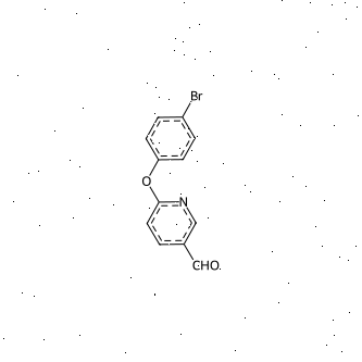 O=Cc1ccc(Oc2ccc(Br)cc2)nc1